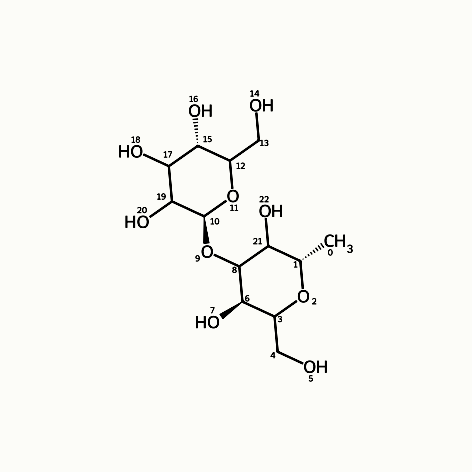 C[C@@H]1OC(CO)[C@@H](O)C(O[C@@H]2OC(CO)[C@@H](O)C(O)C2O)C1O